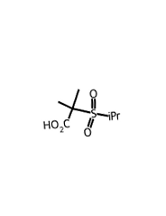 CC(C)S(=O)(=O)C(C)(C)C(=O)O